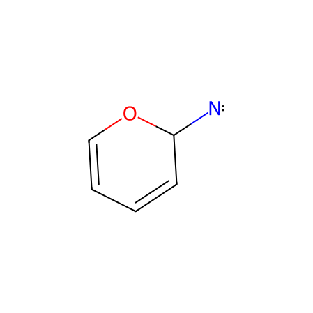 [N]C1C=CC=CO1